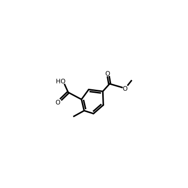 COC(=O)c1ccc(C)c(C(=O)O)c1